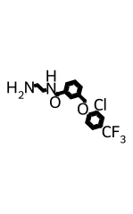 NCCNC(=O)c1cccc(COc2ccc(C(F)(F)F)cc2Cl)c1